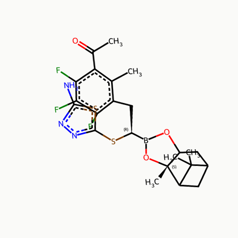 CC(=O)c1c(C)c(C[C@H](Sc2nnc(N)s2)B2OC3CC4CC(C4(C)C)[C@]3(C)O2)c(F)c(F)c1F